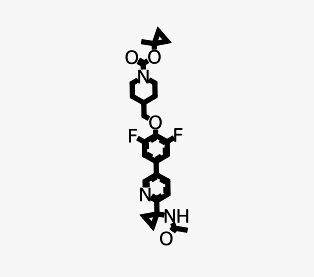 CC(=O)NC1(c2ccc(-c3cc(F)c(OCC4CCN(C(=O)OC5(C)CC5)CC4)c(F)c3)cn2)CC1